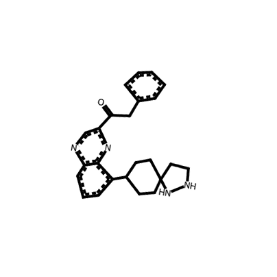 O=C(Cc1ccccc1)c1cnc2cccc(C3CCC4(CCNN4)CC3)c2n1